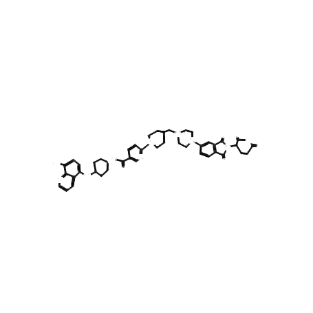 C[C@@H]1CN(c2ccc3c(c2)C(=O)N(C2CCC(=O)NC2=O)C3=O)CCN1CC1CCN(c2ccc(C(=O)NC3CCC(Oc4ccc(C#N)c5ncccc45)CC3)cn2)CC1